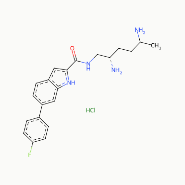 CC(N)CC[C@H](N)CNC(=O)c1cc2ccc(-c3ccc(F)cc3)cc2[nH]1.Cl